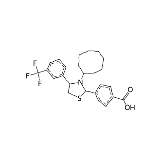 O=C(O)c1ccc(C2SCC(c3cccc(C(F)(F)F)c3)N2C2CCCCCCC2)cc1